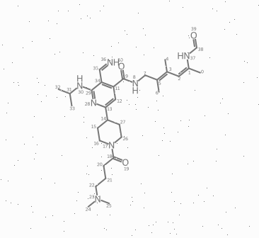 C/C(=C/C(C)=C(\C)CNC(=O)c1cc(C2CCN(C(=O)CCCN(C)C)CC2)nc(NC(C)C)c1C=N)NC=O